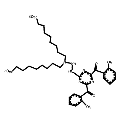 CCCCCCCCCCCCCCCCCCN(CCCCCCCCCCCCCCCCCC)NNc1nc(C(=O)c2ccccc2O)nc(C(=O)c2ccccc2O)n1